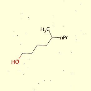 CCC[C](C)CCCCO